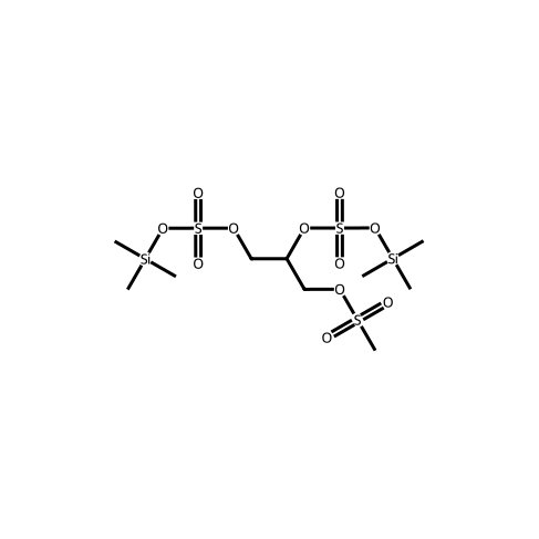 C[Si](C)(C)OS(=O)(=O)OCC(COS(C)(=O)=O)OS(=O)(=O)O[Si](C)(C)C